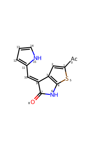 CC(=O)c1cc2c(s1)NC(=O)C2=Cc1ccc[nH]1